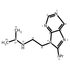 CCCc1nc2cncnc2n1CCNP(C)C